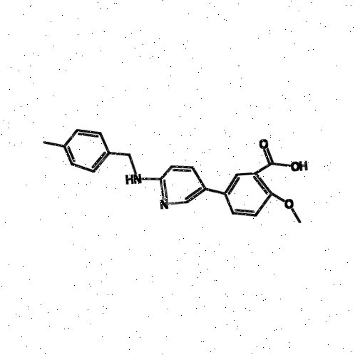 COc1ccc(-c2ccc(NCc3ccc(C)cc3)nc2)cc1C(=O)O